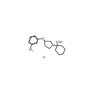 O=C([O-])C1(N2CC[C@@H](Oc3cccc(C(F)(F)F)c3)C2)CCCCC1.[Li+]